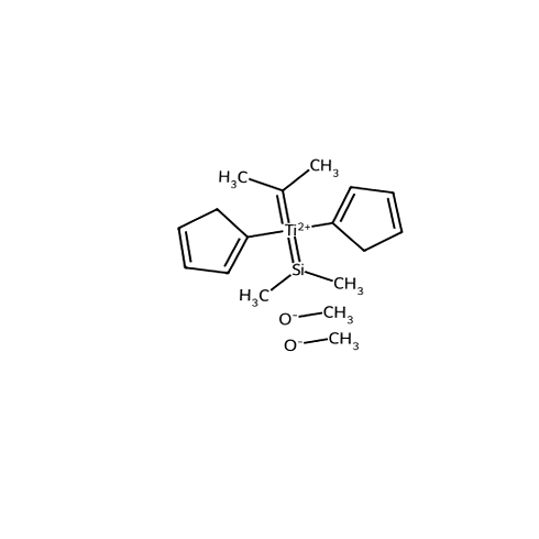 C[C](C)=[Ti+2]([C]1=CC=CC1)([C]1=CC=CC1)=[Si](C)C.C[O-].C[O-]